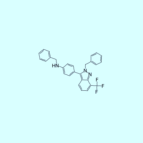 FC(F)(F)c1cccc2c(-c3ccc(NCc4ccccc4)cc3)n(Cc3ccccc3)nc12